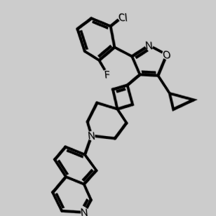 Fc1cccc(Cl)c1-c1noc(C2CC2)c1C1=CC2(CCN(c3ccc4ccncc4c3)CC2)C1